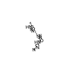 N#Cc1ccc(CNC(=O)c2cn(CCCCc3cc4cc(C5CC5)[nH]c4nn3)nn2)cn1